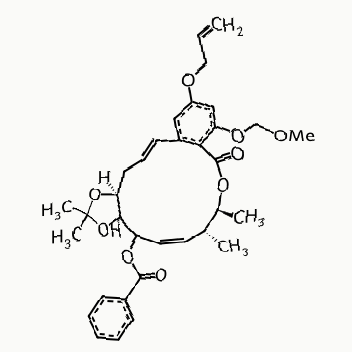 C=CCOc1cc2c(c(OCOC)c1)C(=O)O[C@@H](C)[C@H](C)/C=C\C(OC(=O)c1ccccc1)[C@H]1OC(C)(C)O[C@H]1C/C=C/2